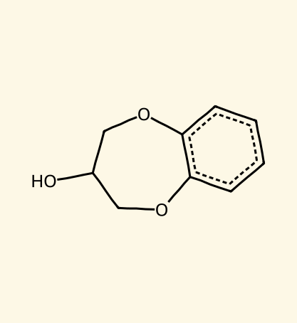 OC1COc2ccccc2OC1